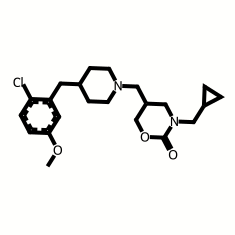 COc1ccc(Cl)c(CC2CCN(CC3COC(=O)N(CC4CC4)C3)CC2)c1